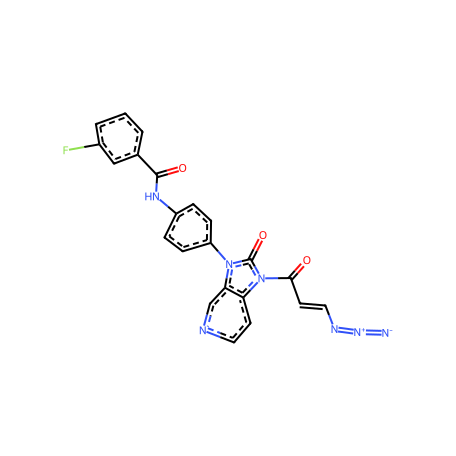 [N-]=[N+]=NC=CC(=O)n1c(=O)n(-c2ccc(NC(=O)c3cccc(F)c3)cc2)c2cnccc21